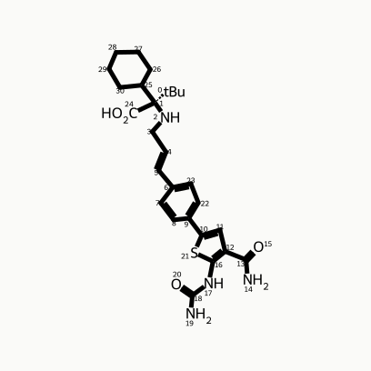 CC(C)(C)[C@](NCC=Cc1ccc(-c2cc(C(N)=O)c(NC(N)=O)s2)cc1)(C(=O)O)C1CCCCC1